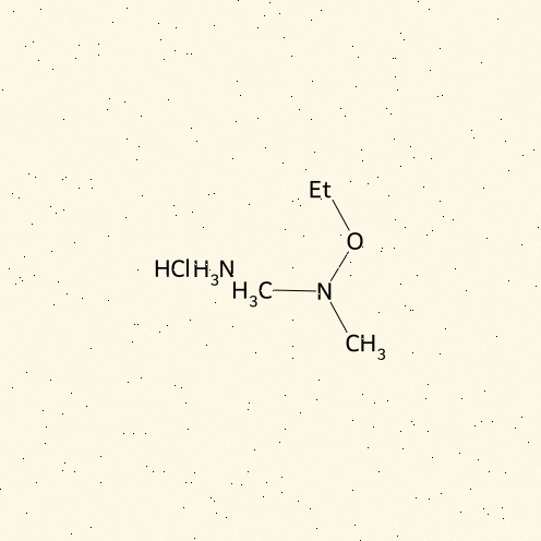 CCON(C)C.Cl.N